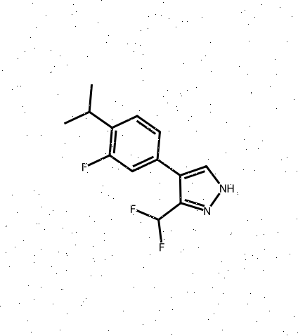 CC(C)c1ccc(-c2c[nH]nc2C(F)F)cc1F